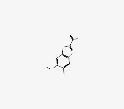 COc1cc2sc(C(=O)O)nc2cc1Br.[KH]